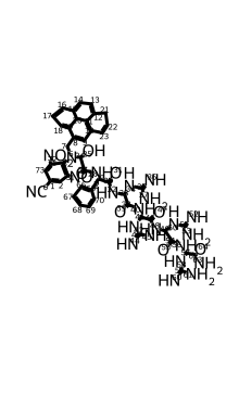 N#Cc1cc([N+](=O)[O-])c(N(CC2=CC3=C4C(=CC=C5C=CC=C2C54)CC=C3)C(O)C(=O)NC(C(=O)NC(NC(=N)N)C(=O)NC(NC(=N)N)C(=O)NC(NC(=N)N)C(=O)NC(NC(=N)N)C(N)=O)c2ccccc2)c([N+](=O)[O-])c1